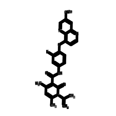 C=C(C)n1c(C)cc(C)c(C(=O)Nc2ccc(Oc3ccnc4cc(OC)cnc34)c(F)c2)c1=O